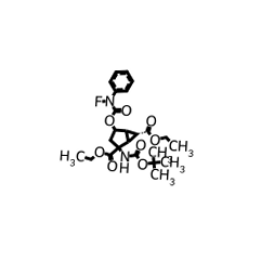 CCOC(=O)[C@H]1C2C(OC(=O)N(F)c3ccccc3)CC(NC(=O)OC(C)(C)C)(C(=O)OCC)C21